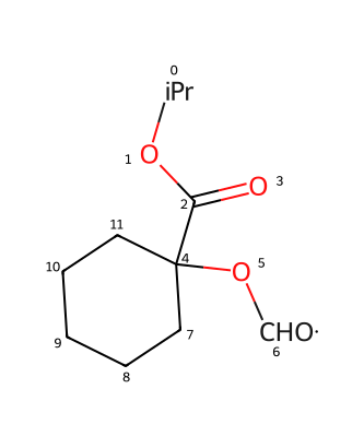 CC(C)OC(=O)C1(O[C]=O)CCCCC1